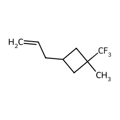 C=CCC1CC(C)(C(F)(F)F)C1